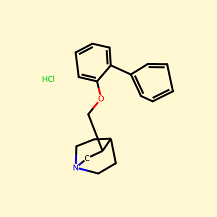 Cl.c1ccc(-c2ccccc2OCC2CN3CCC2CC3)cc1